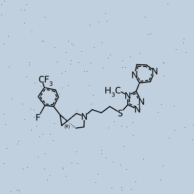 Cn1c(SCCCN2CC[C@@]3(CC3c3ccc(C(F)(F)F)cc3F)C2)nnc1-c1cnccn1